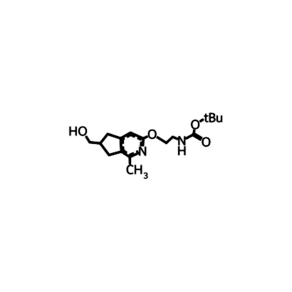 Cc1nc(OCCNC(=O)OC(C)(C)C)cc2c1CC(CO)C2